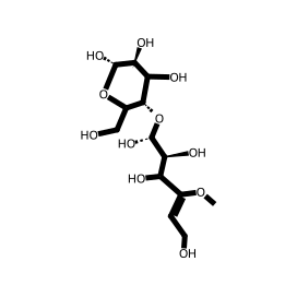 CO/C(=C\CO)C(O)[C@H](O)[C@H](O)O[C@@H]1C(CO)O[C@H](O)[C@@H](O)C1O